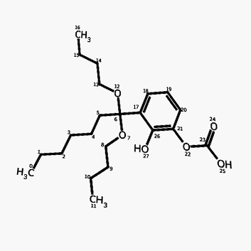 CCCCCCC(OCCCC)(OCCCC)c1cccc(OC(=O)O)c1O